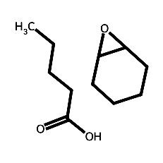 C1CCC2OC2C1.CCCCC(=O)O